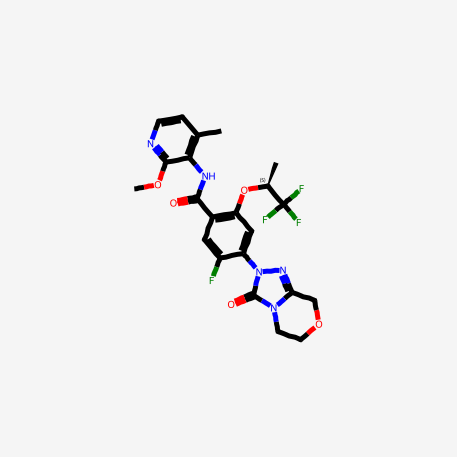 COc1nccc(C)c1NC(=O)c1cc(F)c(-n2nc3n(c2=O)CCOC3)cc1O[C@@H](C)C(F)(F)F